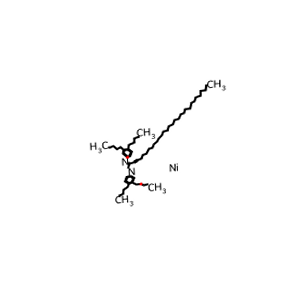 CCCCCCCCCCCCCCCCCCCCCCCCCCCC#CC(/C=N/c1ccc(CCCCC)c(CCCCC)c1)=N\c1ccc(CCCCC)c(CCCCC)c1.[Ni]